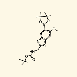 COc1cc2sc(CNC(=O)OC(C)(C)C)nc2cc1B1OC(C)(C)C(C)(C)O1